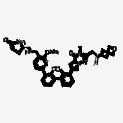 COc1nc(-c2cccc(-c3cccc(-c4cc5c(=O)n(C)c(CNC6CC7(COC7)C6)nn5c4)c3Cl)c2Cl)ccc1CNC[C@H]1CCC(=O)N1